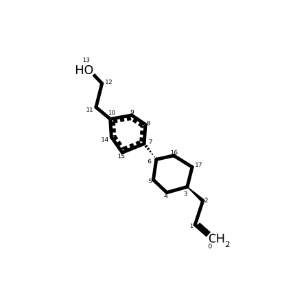 C=CC[C@H]1CC[C@H](c2ccc(CCO)cc2)CC1